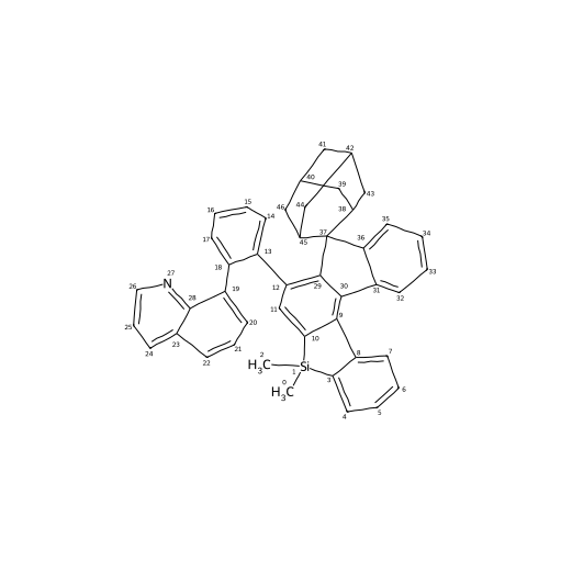 C[Si]1(C)c2ccccc2-c2c1cc(-c1ccccc1-c1cccc3cccnc13)c1c2-c2ccccc2C12C1CC3CC(C1)CC2C3